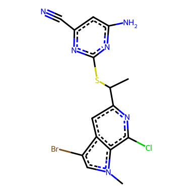 CC(Sc1nc(N)cc(C#N)n1)c1cc2c(Br)cn(C)c2c(Cl)n1